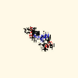 [2H]c1c(OC([2H])([2H])[2H])c(OC([2H])([2H])[2H])c([2H])c2c(N([2H])[2H])nc(N3CC([2H])([2H])N(C(=O)C4([2H])Oc5ccccc5OC4([2H])[2H])C([2H])([2H])C3)nc12